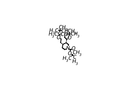 CC(C)(C)OC(=O)N1CC[C@@H](CCO[Si](C)(C)C(C)(C)C)[C@@H](C2COC(C)(C)O2)C1